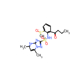 CCCC(=O)c1cccc([S+](C)[O-])c1NS(=O)(=O)c1nc2nc(C)cc(C)n2n1